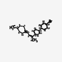 C/C(=C/CN1CCC(C)CC1)c1ccc(-c2ccc(Br)cc2)cc1